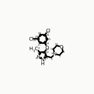 Cc1n[nH]c(CN2CCOCC2)c1Oc1cc(Cl)cc(Cl)c1